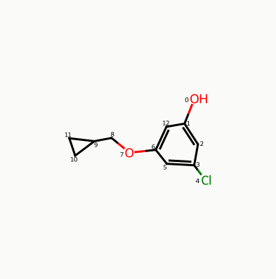 Oc1cc(Cl)cc(OCC2CC2)c1